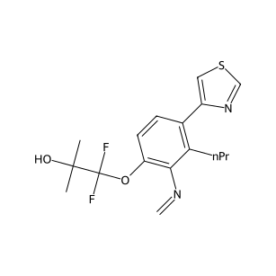 C=Nc1c(OC(F)(F)C(C)(C)O)ccc(-c2cscn2)c1CCC